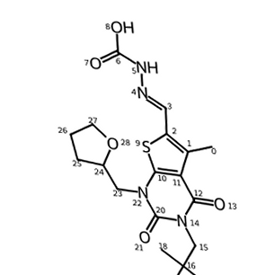 Cc1c(C=NNC(=O)O)sc2c1c(=O)n(CC(C)(C)C)c(=O)n2CC1CCCO1